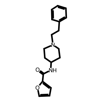 O=C(NC1CCN(CCc2ccccc2)CC1)c1ccco1